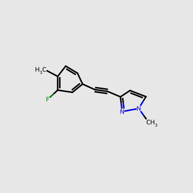 Cc1ccc(C#Cc2ccn(C)n2)cc1F